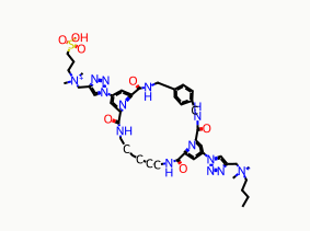 CCCC[N+](C)(C)Cc1cn(-c2cc3nc(c2)C(=O)NCc2ccc(cc2)CNC(=O)c2cc(-n4cc(C[N+](C)(C)CCCS(=O)(=O)O)nn4)cc(n2)C(=O)NCCCCCCNC3=O)nn1